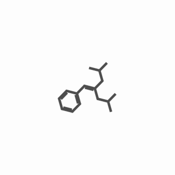 CC(C)CC(=Cc1ccccc1)CC(C)C